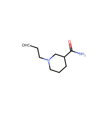 NC(=O)C1CCCN(CCC=O)C1